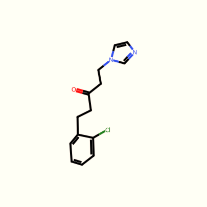 O=C(CCc1ccccc1Cl)CCn1ccnc1